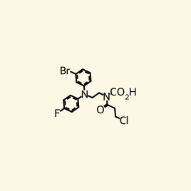 O=C(O)N(CCN(c1ccc(F)cc1)c1cccc(Br)c1)C(=O)CCCl